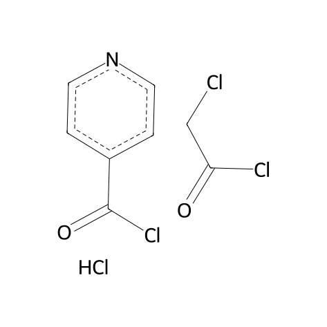 Cl.O=C(Cl)CCl.O=C(Cl)c1ccncc1